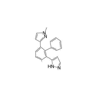 Cn1ccc(-c2cc[c]c(-c3ccn[nH]3)c2-c2ccccc2)n1